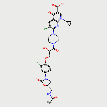 CC(=O)NC[C@H]1CN(c2ccc(OCC(O)C(=O)N3CCN(c4nc5c(cc4F)c(=O)c(C(=O)O)cn5C4CC4)CC3)c(F)c2)C(=O)O1